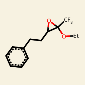 CCOC1(C(F)(F)F)OC1CCc1ccccc1